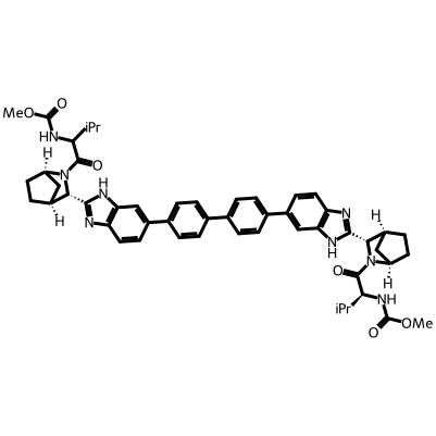 COC(=O)NC(C(=O)N1[C@@H]2CC[C@@H](C2)[C@H]1c1nc2ccc(-c3ccc(-c4ccc(-c5ccc6nc([C@@H]7[C@H]8CC[C@H](C8)N7C(=O)[C@@H](NC(=O)OC)C(C)C)[nH]c6c5)cc4)cc3)cc2[nH]1)C(C)C